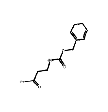 CC(C)C(=O)CCNC(=O)OCC1=CCCC=C1